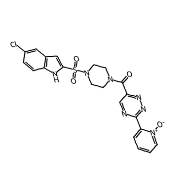 O=C(c1cnc(-c2cccc[n+]2[O-])nn1)N1CCN(S(=O)(=O)c2cc3cc(Cl)ccc3[nH]2)CC1